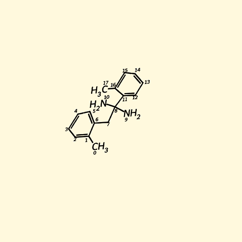 Cc1ccccc1CC(N)(N)c1ccccc1C